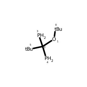 CC(C)(C)OC(P)(P)C(C)(C)C